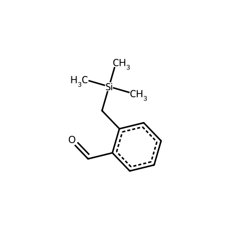 C[Si](C)(C)Cc1ccccc1C=O